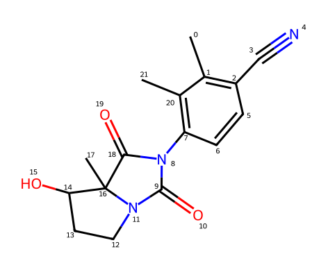 Cc1c(C#N)ccc(N2C(=O)N3CCC(O)C3(C)C2=O)c1C